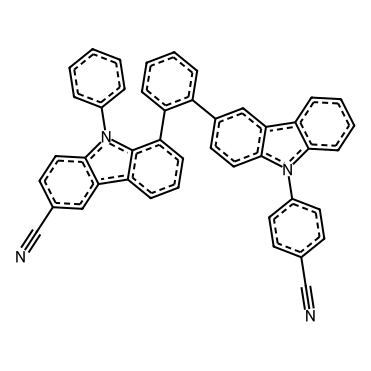 N#Cc1ccc(-n2c3ccccc3c3cc(-c4ccccc4-c4cccc5c6cc(C#N)ccc6n(-c6ccccc6)c45)ccc32)cc1